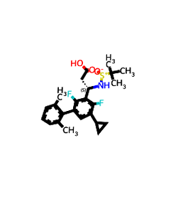 Cc1cccc(C)c1-c1cc(C2CC2)c(F)c([C@H](CC(=O)O)N[S+]([O-])C(C)(C)C)c1F